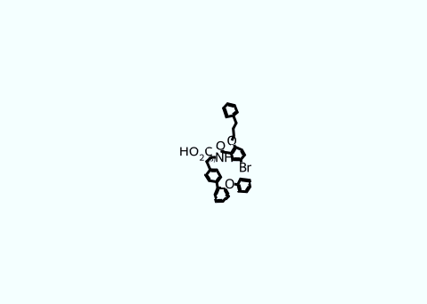 O=C(N[C@@H](Cc1ccc(-c2ccccc2Oc2ccccc2)cc1)C(=O)O)c1cc(Br)ccc1OCCCc1ccccc1